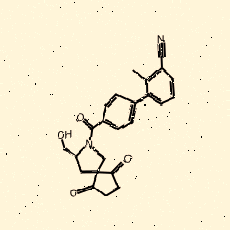 Cc1c(C#N)cccc1-c1ccc(C(=O)N2CC3(C[C@H]2CO)C(=O)CCC3=O)cc1